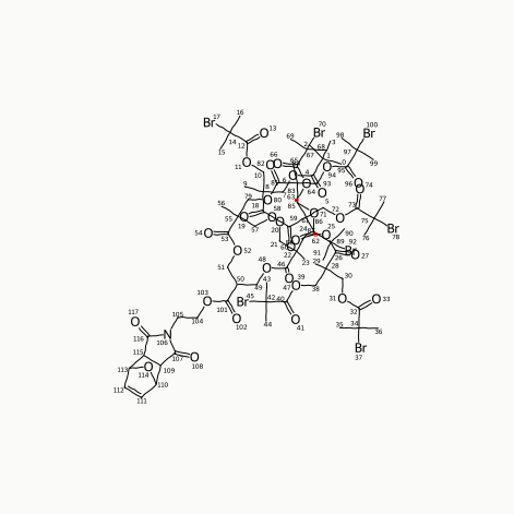 CC(C)(C)C(=O)OCC(C)(COC(=O)C(C)(C)Br)C(=O)OCC(C)(COC(=O)C(C)(COC(=O)C(C)(C)Br)COC(=O)C(C)(C)Br)C(=O)OCC(COC(=O)C(C)(COC(=O)C(C)(COC(=O)C(C)(C)Br)COC(=O)C(C)(C)Br)COC(=O)C(C)(COC(=O)C(C)(C)Br)COC(=O)C(C)(C)Br)C(=O)OCCN1C(=O)C2C3C=CC(O3)C2C1=O